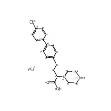 Cl.O=C(O)C(CCc1ccc(-c2ccc(Cl)cc2)cc1)N1CCNCC1